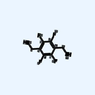 Fc1c(F)c(CS)c(F)c(F)c1CS